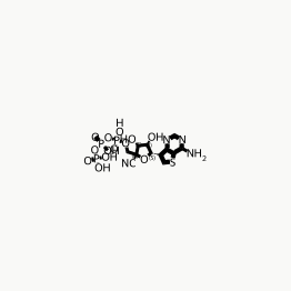 N#C[C@]1(COP(=O)(O)OP(=O)(O)OP(=O)(O)O)O[C@@H](c2csc3c(N)ncnc23)[C@H](O)[C@@H]1O